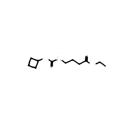 CCOC(=O)CCCNC(=O)OC1CCC1